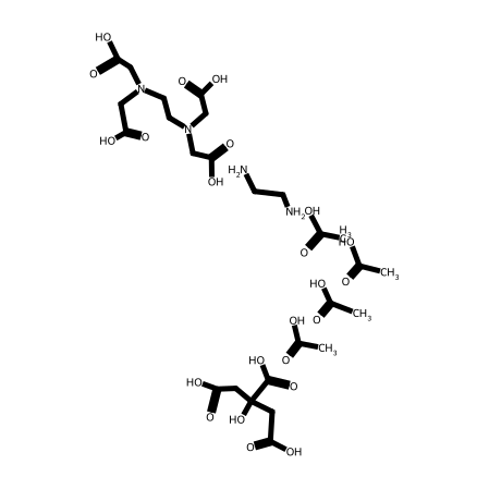 CC(=O)O.CC(=O)O.CC(=O)O.CC(=O)O.NCCN.O=C(O)CC(O)(CC(=O)O)C(=O)O.O=C(O)CN(CCN(CC(=O)O)CC(=O)O)CC(=O)O